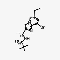 CCc1cc(Br)c2nc([C@@H](C)N[S@+]([O-])C(C)(C)C)cn2c1